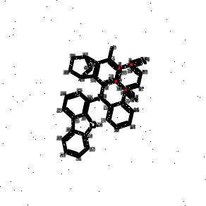 Cc1c(C#N)c(C#N)c(N(c2ccccc2-c2ccccc2)c2cccc3c2oc2ccccc23)c2c1C1CCC2C1